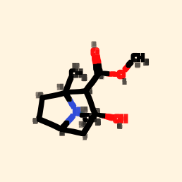 COC(=O)C1[C@@H](O)CC2CCC1(C)N2C